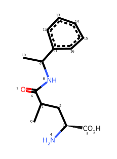 CC(C[C@H](N)C(=O)O)C(=O)NC(C)c1ccccc1